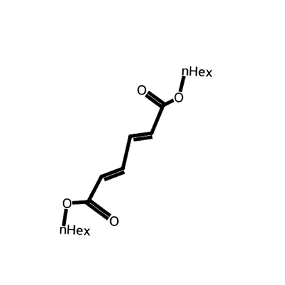 CCCCCCOC(=O)/C=C/C=C/C(=O)OCCCCCC